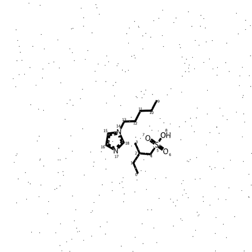 CCC(C)CS(=O)(=O)O.CCCCCn1ccnc1